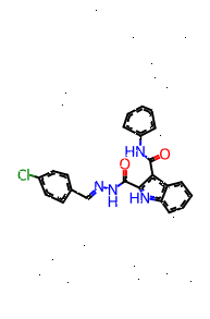 O=C(N/N=C/c1ccc(Cl)cc1)c1[nH]c2ccccc2c1C(=O)Nc1ccccc1